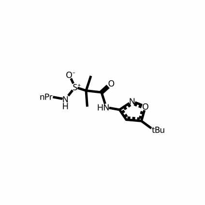 CCCN[S+]([O-])C(C)(C)C(=O)Nc1cc(C(C)(C)C)on1